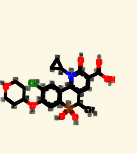 CC1c2cc(C(=O)O)c(=O)n(C3CC3)c2-c2cc(Cl)c(OC3CCOCC3)cc2S1(=O)=O